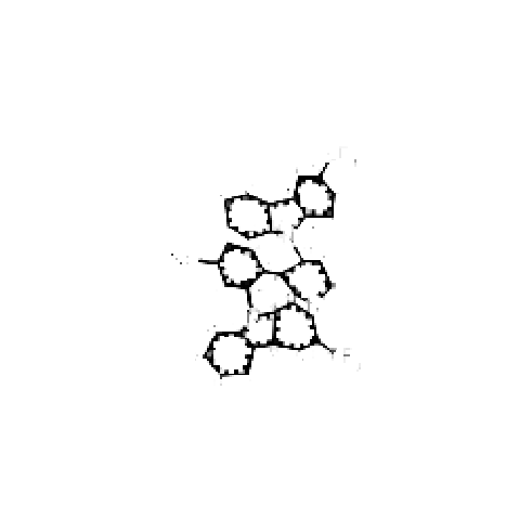 N#Cc1ccc(-c2cnccc2-n2c3ccccc3c3cc(C(F)(F)F)ccc32)c(-n2c3ccccc3c3cc(C(F)(F)F)ccc32)c1